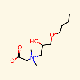 CCCCOCC(O)C[N+](C)(C)CC(=O)[O-]